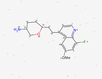 COc1cc(F)c2nccc(CCC3CCC(N)CO3)c2c1